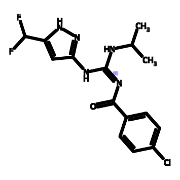 CC(C)N/C(=N/C(=O)c1ccc(Cl)cc1)Nc1cc(C(F)F)[nH]n1